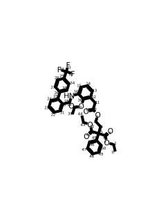 CCOC(=O)C(CCOC(=O)Cc1cccc(NC(=O)c2ccccc2-c2ccc(C(F)(F)F)cc2)c1OCC)(C(=O)OCC)c1ccccc1